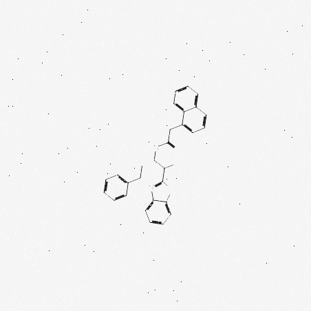 O=C(Cc1cccc2ccccc12)N[C@@H](CCc1ccccc1)C(O)c1nc2ccccc2o1